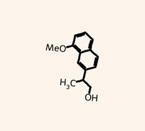 COc1cccc2ccc(C(C)CO)cc12